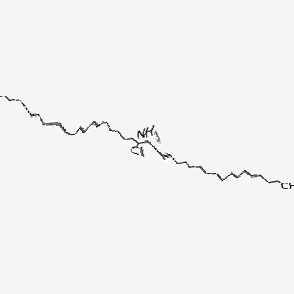 CCCCCCCCCCCCCCCCCCC(Cl)CCCCCCCCCCCCCCCCCC.N